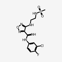 CS(=O)(=O)NCCNc1nonc1C(=N)Nc1ccc(F)c(Cl)c1